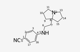 N#Cc1ccc(NCCC23CCCN2CCC3)cc1